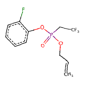 C=CCOP(=O)(CC(F)(F)F)Oc1ccccc1F